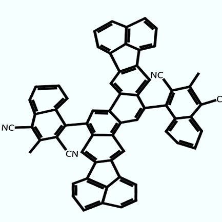 Cc1c(C#N)c(-c2cc3c4cc5c(cc4c(-c4c(C#N)c(C)c(C#N)c6ccccc46)cc3c3cc4c(cc23)-c2cccc3cccc-4c23)-c2cccc3cccc-5c23)c2ccccc2c1C#N